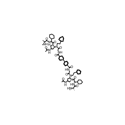 CN[C@@H](C)C(=O)N[C@H](C(=O)N1C[C@@H](NC(C)=O)CC1N(CCc1ccccc1)C(=O)CNC(=O)c1ccc(-c2ccc(C(=O)NCC(=O)N(CCc3ccccc3)C3C[C@H](NC(C)=O)CN3C(=O)[C@@H](NC(=O)[C@H](C)NC)C3CCCCC3)cc2)cc1)C1CCCCC1